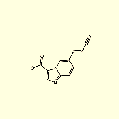 N#CC=Cc1ccc2ncc(C(=O)O)n2c1